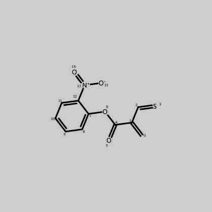 C=C(C=S)C(=O)Oc1ccccc1[N+](=O)[O-]